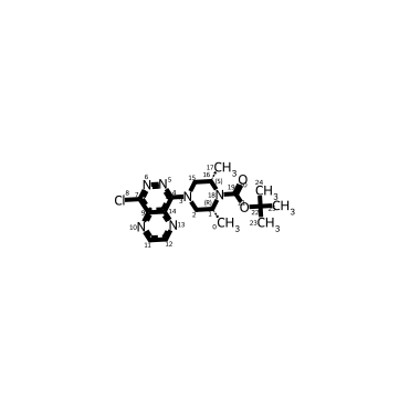 C[C@@H]1CN(c2nnc(Cl)c3nccnc23)C[C@H](C)N1C(=O)OC(C)(C)C